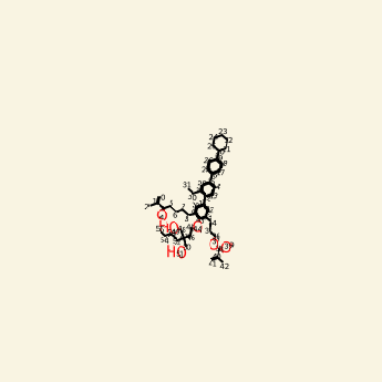 C=C(C)C(=O)CCCCc1cc(-c2ccc(-c3ccc(C4CCCCC4)cc3)cc2CC)cc(CCCOC(=O)C(=C)C)c1OCCC(CO)(CO)CCCC